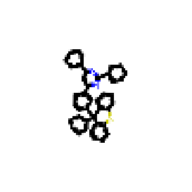 c1ccc(-c2cc(-c3cccc(C4(c5ccccc5)c5ccccc5Sc5ccccc54)c3)nc(-c3ccccc3)n2)cc1